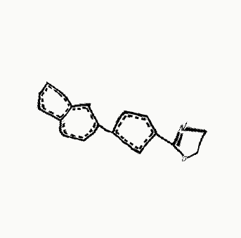 c1ccc2cc(-c3ccc(C4=NCCO4)cc3)ccc2c1